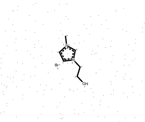 C[n+]1ccn(CCO)c1.[Br+]